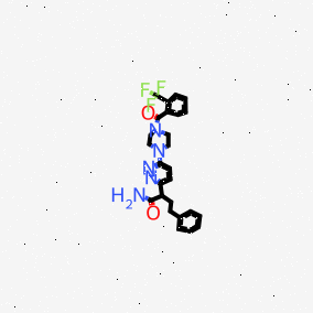 NC(=O)C(CCc1ccccc1)c1ccc(N2CCN(C(=O)c3ccccc3C(F)(F)F)CC2)nn1